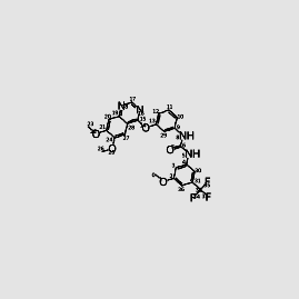 COc1cc(NC(=O)Nc2cccc(Oc3ncnc4cc(OC)c(OC)cc34)c2)cc(C(F)(F)F)c1